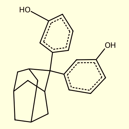 Oc1cccc(C2(c3cccc(O)c3)C3CC4CC(C3)CC2C4)c1